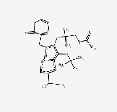 CC(C)c1ccc2c(c1)c(SC(C)(C)C)c(CC(C)(C)CNC(N)=O)n2CC1=CC=CCC1=S